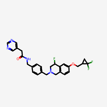 O=C(Cc1cncnc1)NCc1ccc(CN2Cc3ccc(OCC4CC4(F)F)cc3C(F)C2)cc1